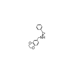 c1ccc(C2C[C@H]2NCc2ccc3c(c2)OCCO3)cc1